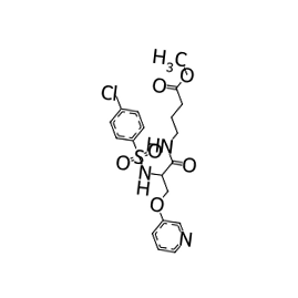 COC(=O)CCCNC(=O)C(COc1cccnc1)NS(=O)(=O)c1ccc(Cl)cc1